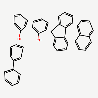 Oc1ccccc1.Oc1ccccc1.c1ccc(-c2ccccc2)cc1.c1ccc2c(c1)Cc1ccccc1-2.c1ccc2ccccc2c1